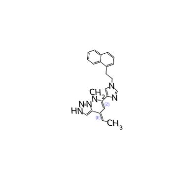 C=N/C(=C\C(=C/C)c1c[nH]nn1)c1cn(CCc2cccc3ccccc23)cn1